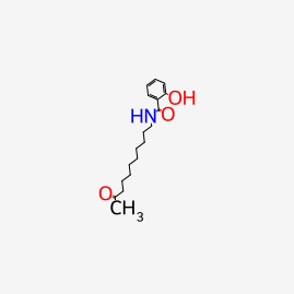 CC(=O)CCCCCCCCCNC(=O)c1ccccc1O